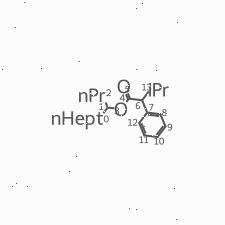 CCCCCCCC(CCC)OC(=O)C(c1ccccc1)C(C)C